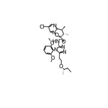 CC[C@H](C)OCCc1nnc(NS(=O)(=O)[C@@H](C)[C@H](C)c2ncc(Cl)cn2)n1-c1c(OC)cccc1OC